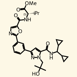 COC(=O)[C@@H](NC(=O)c1cnc(-c2cccc(-c3cc(C(=O)NC(C4CC4)C4CC4)n(CC(C)(C)O)n3)c2)o1)C(C)C